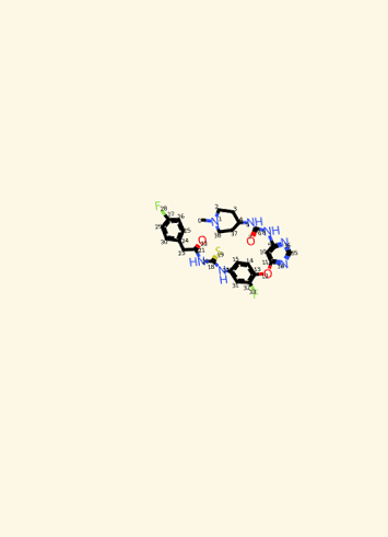 CN1CCC(NC(=O)Nc2cc(Oc3ccc(NC(=S)NC(=O)Cc4ccc(F)cc4)cc3F)ncn2)CC1